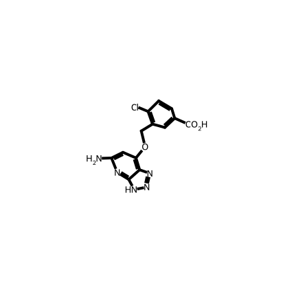 Nc1cc(OCc2cc(C(=O)O)ccc2Cl)c2nn[nH]c2n1